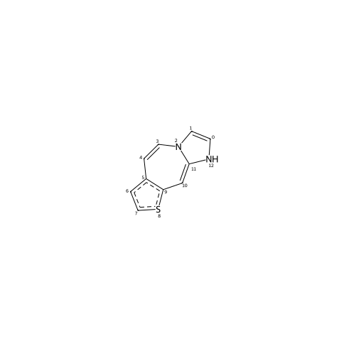 C1=CN2C=Cc3ccsc3C=C2N1